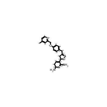 Cc1ccnc(COc2ccc(CC3=NOC(C4=CCC(N)N=C4N)C3)cc2)c1